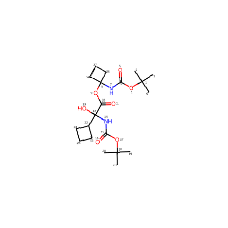 CC(C)(C)OC(=O)NC1(OC(=O)C(O)(NC(=O)OC(C)(C)C)C2CCC2)CCC1